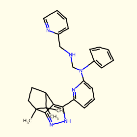 CC12CCC(c3c1n[nH]c3-c1cccc(N(CNCc3ccccn3)c3ccccc3)n1)C2(C)C